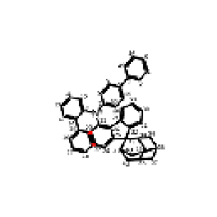 c1ccc(-c2ccc(N(c3ccccc3-c3ccccc3)c3cccc4c3-c3ccccc3C43C4CC5CC(C4)CC3C5)cc2)cc1